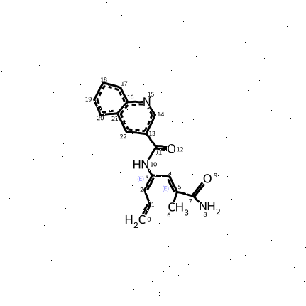 C=C/C=C(\C=C(/C)C(N)=O)NC(=O)c1cnc2ccccc2c1